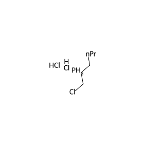 CCCCCCCl.Cl.Cl.P